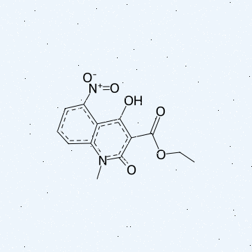 CCOC(=O)c1c(O)c2c([N+](=O)[O-])cccc2n(C)c1=O